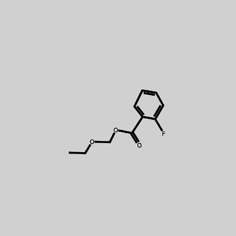 CCOCOC(=O)c1ccccc1F